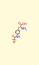 CC(C)(Br)C(=O)Nc1ccc(CC(N)C(=O)O)cc1